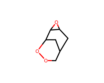 C1OOC2CC1CC1OC21